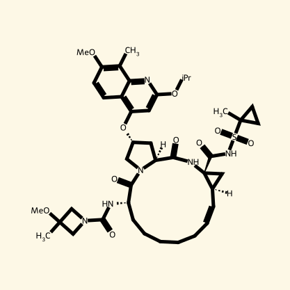 COc1ccc2c(O[C@@H]3C[C@H]4C(=O)N[C@]5(C(=O)NS(=O)(=O)C6(C)CC6)C[C@H]5C=CCCCCC[C@H](NC(=O)N5CC(C)(OC)C5)C(=O)N4C3)cc(OC(C)C)nc2c1C